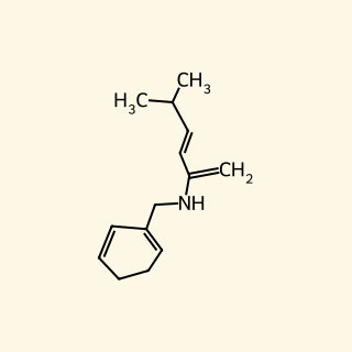 C=C(/C=C/C(C)C)NCC1=CCCC=C1